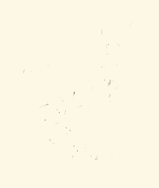 CC(C)COC(=O)[C@H](Cc1ccc(N2C(=O)CCN(C)C2=O)nc1)NC(=O)c1cc(F)c(N(c2ccc(NC(=O)C(C)(C)C)cc2)[SH](=O)=O)cc1F